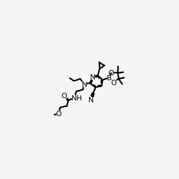 CCCN(CCNC(=O)CCOC)c1nc(C2CC2)c(B2OC(C)(C)C(C)(C)O2)cc1C#N